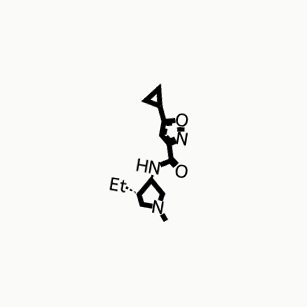 CC[C@H]1CN(C)C[C@H]1NC(=O)c1cc(C2CC2)on1